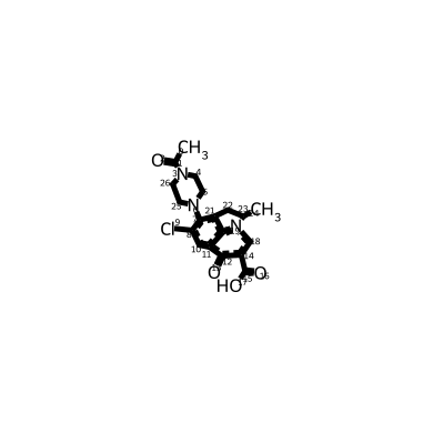 CC(=O)N1CCN(c2c(Cl)cc3c(=O)c(C(=O)O)cn4c3c2CC4C)CC1